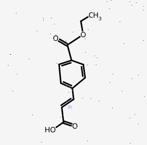 CCOC(=O)c1ccc(/C=C/C(=O)O)cc1